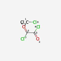 ClC(Cl)(Cl)Cl.O=C(Cl)C(=O)Cl